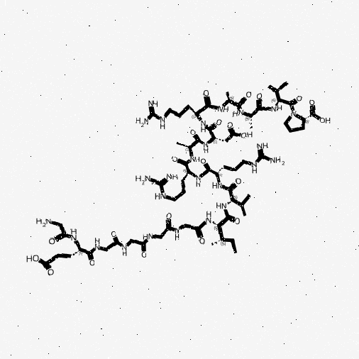 CC[C@H](C)[C@H](NC(=O)CNC(=O)CNC(=O)CNC(=O)CNC(=O)[C@H](CCC(=O)O)NC(=O)CN)C(=O)N[C@H](C(=O)N[C@@H](CCCNC(=N)N)C(=O)N[C@@H](CCCNC(=N)N)C(=O)N[C@@H](C)C(=O)N[C@@H](CC(=O)O)C(=O)N[C@@H](CCCNC(=N)N)C(=O)N[C@@H](C)C(=O)N[C@@H](C)C(=O)N[C@H](C(=O)N1CCC[C@H]1C(=O)O)C(C)C)C(C)C